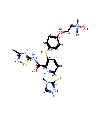 Cc1nsc(NC(=O)c2nc(Sc3nncn3C)ccc2Sc2ccc(OCC[N+](C)(C)[O-])cc2)n1